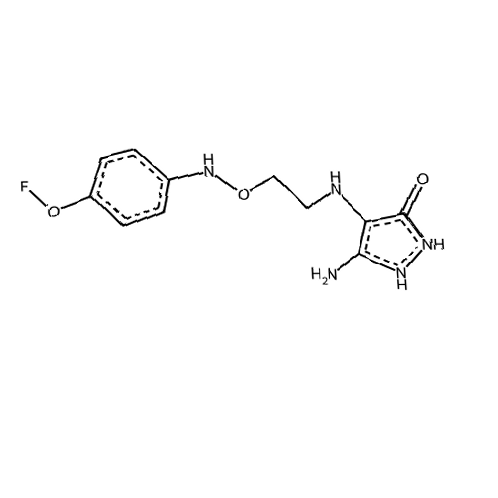 Nc1[nH][nH]c(=O)c1NCCONc1ccc(OF)cc1